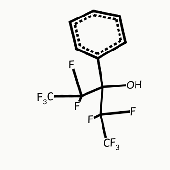 OC(c1ccccc1)(C(F)(F)C(F)(F)F)C(F)(F)C(F)(F)F